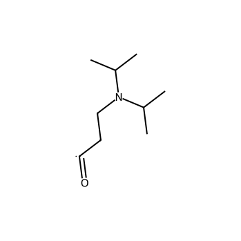 CC(C)N(CC[C]=O)C(C)C